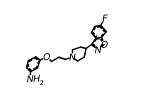 Nc1cccc(OCCCN2CCC(c3noc4cc(F)ccc34)CC2)c1